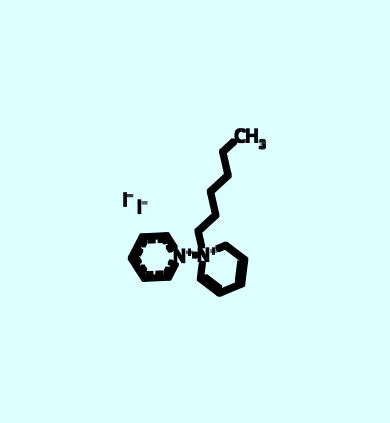 CCCCCC[N+]1([n+]2ccccc2)C=CC=CC1.[I-].[I-]